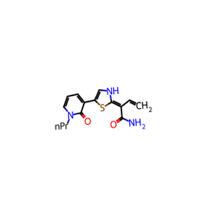 C=C/C(C(N)=O)=C1\NC=C(c2cccn(CCC)c2=O)S1